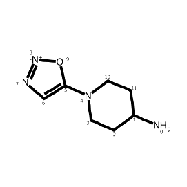 NC1CCN(C2=CN=[N+]O2)CC1